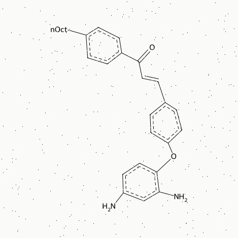 CCCCCCCCc1ccc(C(=O)C=Cc2ccc(Oc3ccc(N)cc3N)cc2)cc1